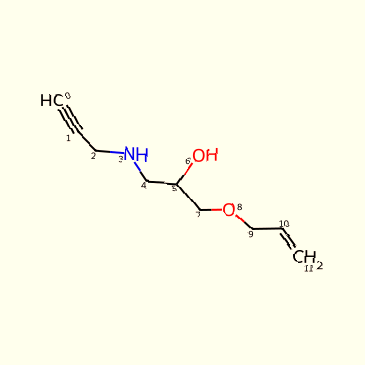 C#CCNCC(O)COCC=C